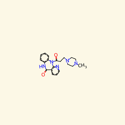 CN1CCN(CCC(=O)N2c3ccccc3NC(=O)c3cccnc32)CC1